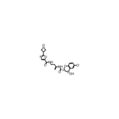 C=C(CCNC(=O)c1cnc(C2CNC2)o1)NC(=O)[C@H]1C[C@@H](O)c2cc(Cl)ccc2O1